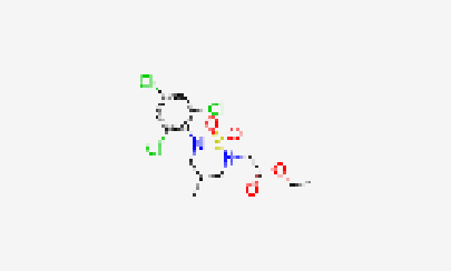 CCOC(=O)CN1CC(C)CN(c2c(Cl)cc(Cl)cc2Cl)S1(=O)=O